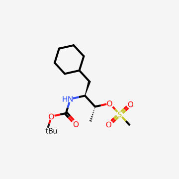 C[C@@H](OS(C)(=O)=O)[C@H](CC1CCCCC1)NC(=O)OC(C)(C)C